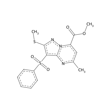 COC(=O)c1cc(C)nc2c(S(=O)(=O)c3ccccc3)c(SC)nn12